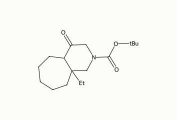 CCC12CCCCCC1C(=O)CN(C(=O)OC(C)(C)C)C2